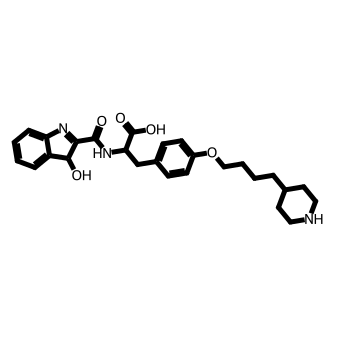 O=C(NC(Cc1ccc(OCCCCC2CCNCC2)cc1)C(=O)O)C1=Nc2ccccc2C1O